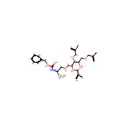 C=C(C)COC[C@@H](O)[C@H](OCC(=C)C)[C@H](COC[C@H](NC(=O)OCc1ccccc1)C(=O)O)OCC(=C)C